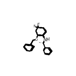 C[C@H](NC1CCC(F)(F)CC1OCc1ccccc1)c1ccccc1